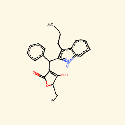 CC(=O)OCCc1c(C(C2=C(O)C(CC(C)C)OC2=O)c2ccccc2)[nH]c2ccccc12